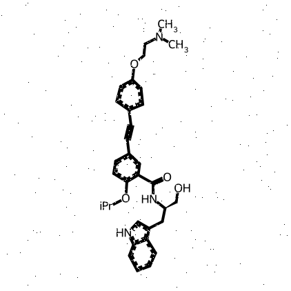 CC(C)Oc1ccc(C#Cc2ccc(OCCN(C)C)cc2)cc1C(=O)N[C@@H](CO)Cc1c[nH]c2ccccc12